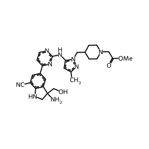 COC(=O)CN1CCC(Cn2nc(C)cc2Nc2nccc(-c3cc(C#N)c4c(c3)C(N)(CO)CN4)n2)CC1